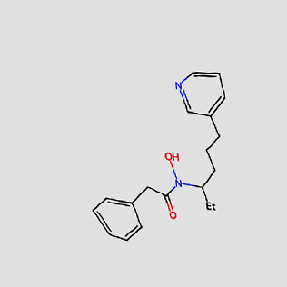 CCC(CCCc1cccnc1)N(O)C(=O)Cc1ccccc1